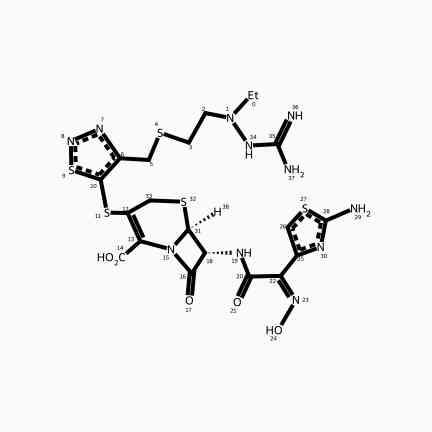 CCN(CCSCc1nnsc1SC1=C(C(=O)O)N2C(=O)[C@@H](NC(=O)/C(=N\O)c3csc(N)n3)[C@@H]2SC1)NC(=N)N